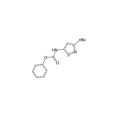 CCCCc1cc(NC(=O)Oc2ccccc2)sn1